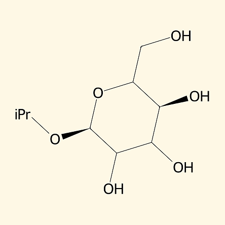 CC(C)O[C@H]1OC(CO)[C@@H](O)C(O)C1O